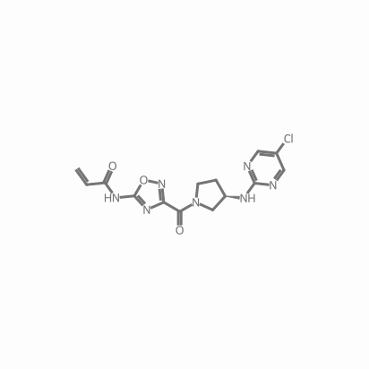 C=CC(=O)Nc1nc(C(=O)N2CC[C@@H](Nc3ncc(Cl)cn3)C2)no1